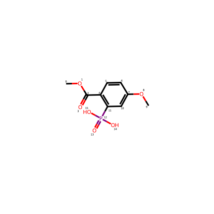 COC(=O)c1ccc(OC)cc1P(=O)(O)O